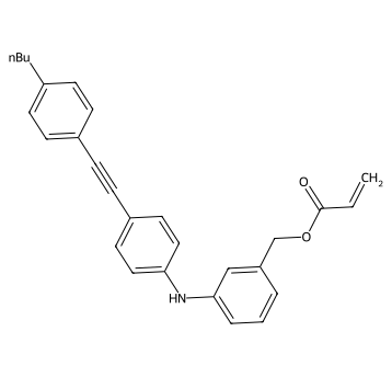 C=CC(=O)OCc1cccc(Nc2ccc(C#Cc3ccc(CCCC)cc3)cc2)c1